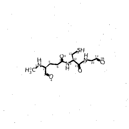 CN[C@H](C=O)CCC(=O)N[C@@H](CS)C(=O)NCC=O